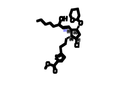 CCCCCC(O)/C=C/[C@@H]1[C@@H](CCCc2ccc(C(=O)OC)s2)[C@H](Cl)C[C@H]1OC1CCCCO1